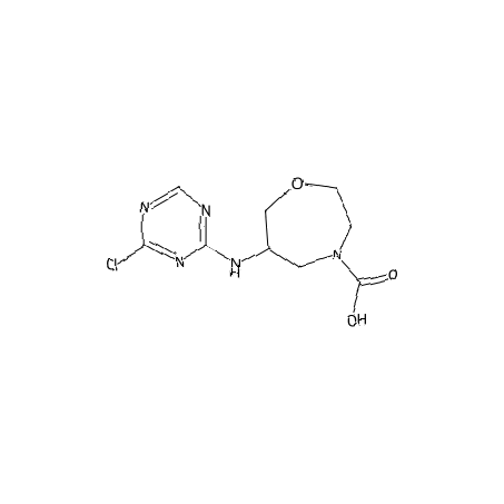 O=C(O)N1CCOCC(Nc2ncnc(Cl)n2)C1